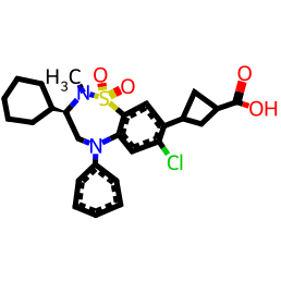 CN1[C@H](C2CCCCC2)CN(c2ccccc2)c2cc(Cl)c(C3CC(C(=O)O)C3)cc2S1(=O)=O